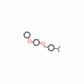 CC(C)c1ccc(COc2ccc(Oc3ccccc3)cc2)cc1